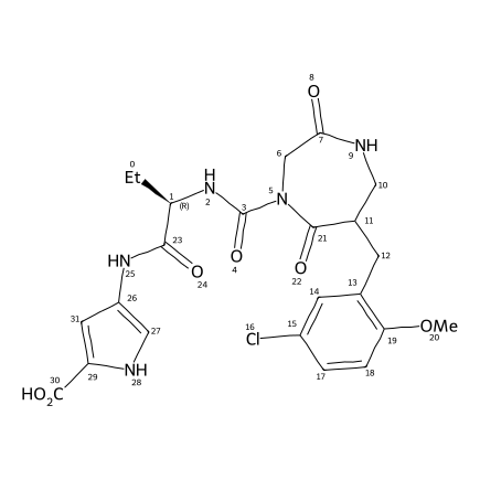 CC[C@@H](NC(=O)N1CC(=O)NCC(Cc2cc(Cl)ccc2OC)C1=O)C(=O)Nc1c[nH]c(C(=O)O)c1